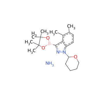 Cc1ccc2c(c(B3OC(C)(C)C(C)(C)O3)nn2C2CCCCO2)c1C.N